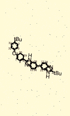 CC(C)(C)c1ccc(OC2=CC=C(c3nc4ccc(-c5ccc6nc(C(C)(C)C)[nH]c6c5)cc4[nH]3)CC2)cc1